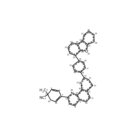 CC1(C#N)C=CC(c2ccc3ccc4ccc(-c5ccc(-c6cccc7c6oc6ccccc67)cc5)nc4c3n2)=CC1